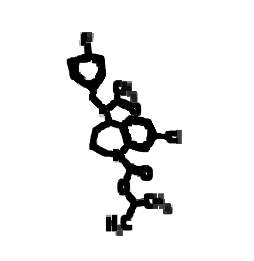 CC(=O)N(Cc1ccc(F)cc1)C1CCCN(C(=O)OC(C)C)c2cc(Cl)ccc21